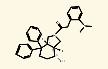 CN(C)c1ccccc1CC(=O)N1C[C@@H]2[C@H](O)CCC(c3ccccc3)(c3ccccc3)[C@@H]2C1